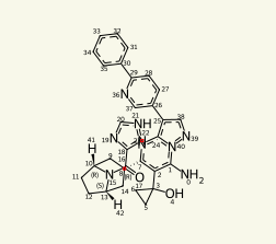 Nc1c(C2(O)CC2)c([C@H]2C[C@H]3CC[C@@H](C2)N3C(=O)c2nc[nH]n2)nc2c(-c3ccc(-c4ccccc4)nc3)cnn12